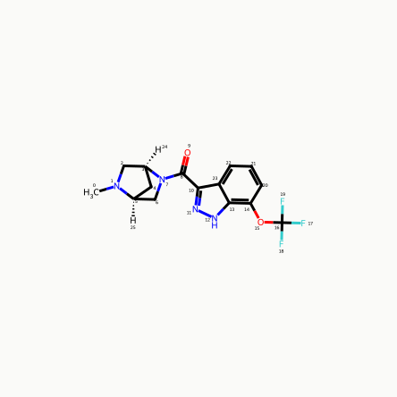 CN1C[C@@H]2C[C@H]1CN2C(=O)c1n[nH]c2c(OC(F)(F)F)cccc12